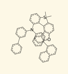 C[Si]1(C)c2cccc(N(c3ccc(-c4cccc5ccccc45)cc3)c3cccc(-c4ccccc4)c3)c2-c2c1ccc1oc3ccccc3c21